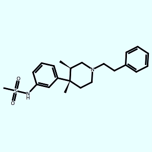 C[C@H]1CN(CCc2ccccc2)CC[C@]1(C)c1cccc(NS(C)(=O)=O)c1